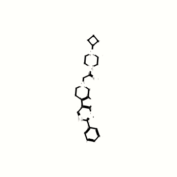 O=C(CN1CCc2c(sc3nc(-c4ccccc4)ncc23)C1)N1CCN(C2CCC2)CC1